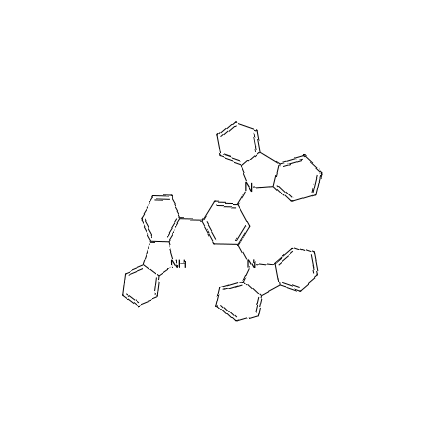 c1ccc2c(c1)[nH]c1c(-c3cc(-n4c5ccccc5c5ccccc54)cc(-n4c5ccccc5c5ccccc54)c3)cccc12